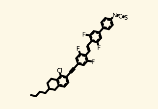 CCCCC1CCc2c(ccc(C#Cc3cc(F)c(/C=C/c4c(F)cc(-c5ccc(N=C=S)cc5)cc4F)c(F)c3)c2Cl)C1